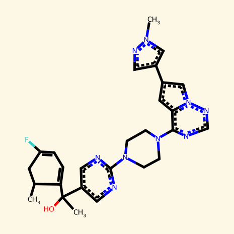 CC1CC(F)=CC=C1C(C)(O)c1cnc(N2CCN(c3ncnn4cc(-c5cnn(C)c5)cc34)CC2)nc1